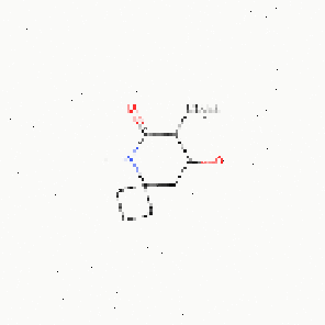 CCOC(=O)C1C(=O)CC2(CCC2)N(C)C1=O